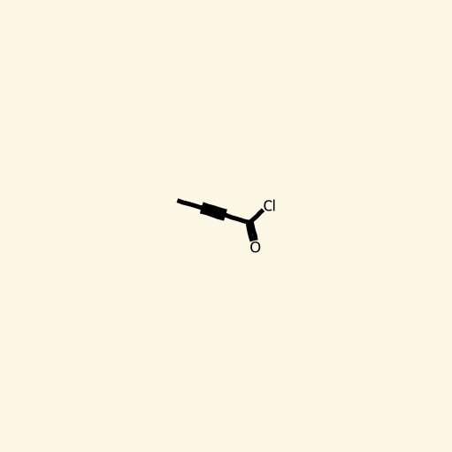 CC#CC(=O)Cl